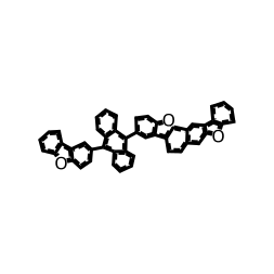 c1ccc2c(c1)oc1ccc(-c3c4ccccc4c(-c4ccc5oc6c7cc8c(cc7ccc6c5c4)oc4ccccc48)c4ccccc34)cc12